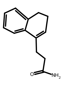 NC(=O)CCC1=CCCc2ccccc21